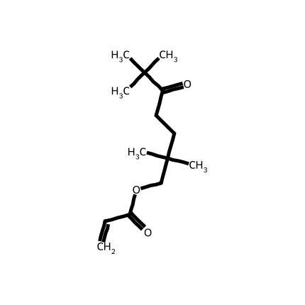 C=CC(=O)OCC(C)(C)CCC(=O)C(C)(C)C